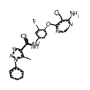 Cc1c(C(=O)Nc2ccc(Oc3ncnc(N)c3Cl)c(F)c2)nnn1-c1ccccc1